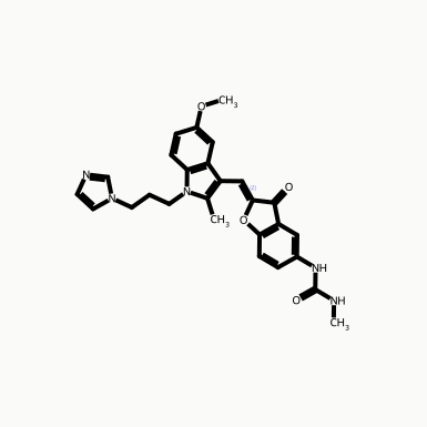 CNC(=O)Nc1ccc2c(c1)C(=O)/C(=C/c1c(C)n(CCCn3ccnc3)c3ccc(OC)cc13)O2